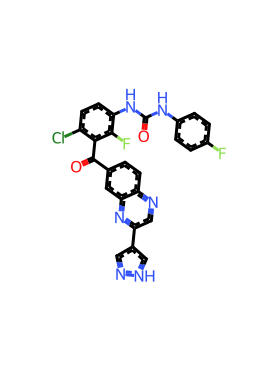 O=C(Nc1ccc(F)cc1)Nc1ccc(Cl)c(C(=O)c2ccc3ncc(-c4cn[nH]c4)nc3c2)c1F